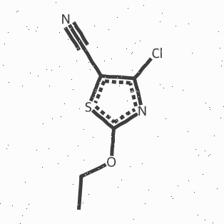 CCOc1nc(Cl)c(C#N)s1